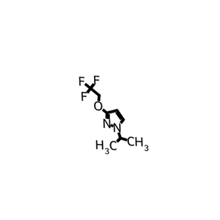 CC(C)n1ccc(OCC(F)(F)F)n1